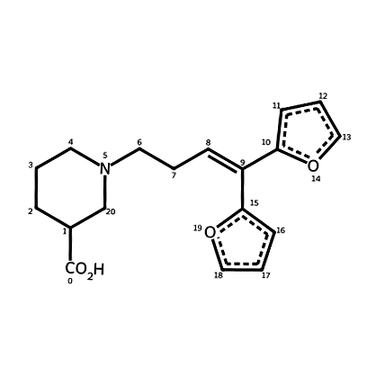 O=C(O)C1CCCN(CCC=C(c2ccco2)c2ccco2)C1